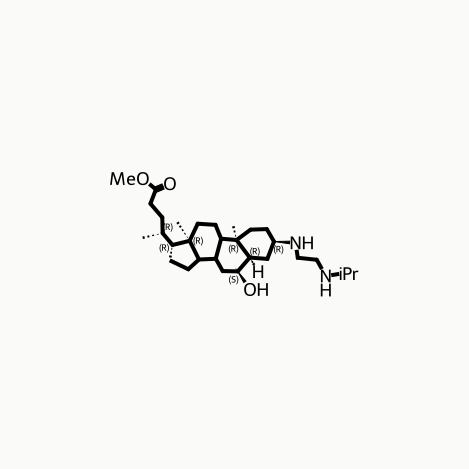 COC(=O)CC[C@@H](C)[C@H]1CCC2C3C[C@H](O)[C@@H]4C[C@H](NCCNC(C)C)CC[C@]4(C)C3CC[C@@]21C